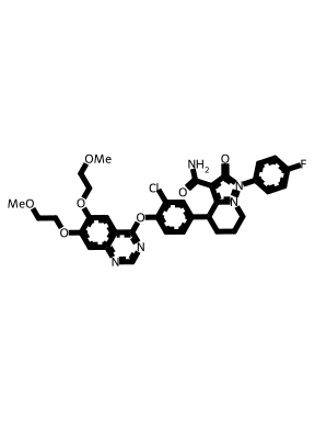 COCCOc1cc2ncnc(Oc3ccc(C4CCCn5c4c(C(N)=O)c(=O)n5-c4ccc(F)cc4)cc3Cl)c2cc1OCCOC